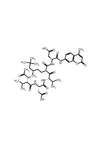 CC(=O)N[C@H](C(=O)N[C@@H](CC(=O)O)C(=O)N[C@H](C(=O)N(CC[C@@H](C)CC(C)(C)C)C(=O)N[C@@H](CC(=O)O)C(=O)Nc1ccc2c(C)cc(=O)oc2c1)C(C)C)C(C)C